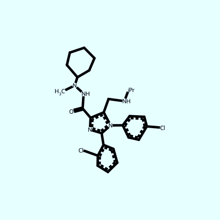 CC(C)NCc1c(C(=O)NN(C)C2CCCCC2)nc(-c2ccccc2Cl)n1-c1ccc(Cl)cc1